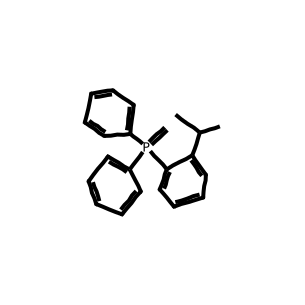 C=P(c1ccccc1)(c1ccccc1)c1ccccc1C(C)C